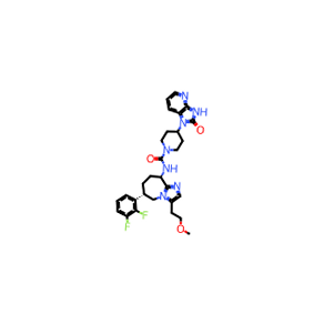 COCCc1cnc2n1C[C@H](c1cccc(F)c1F)CC[C@H]2NC(=O)N1CCC(n2c(=O)[nH]c3ncccc32)CC1